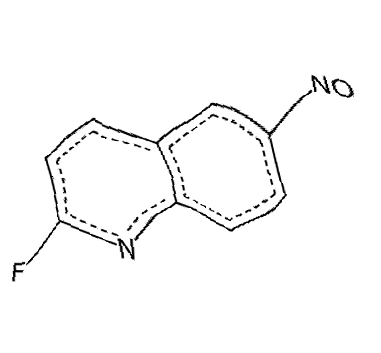 O=Nc1ccc2nc(F)ccc2c1